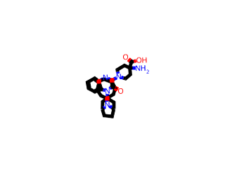 NC1(C(=O)O)CCN(c2nc3ccccc3n(C3CC4CCC(C3)N4C3CCCCCCC3)c2=O)CC1